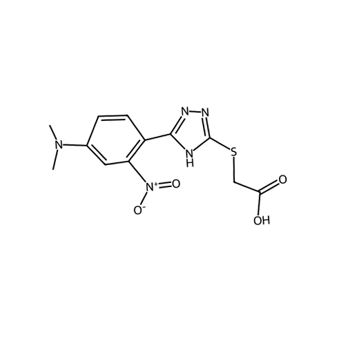 CN(C)c1ccc(-c2nnc(SCC(=O)O)[nH]2)c([N+](=O)[O-])c1